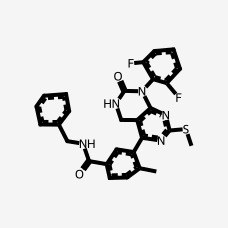 CSc1nc(-c2cc(C(=O)NCc3ccccc3)ccc2C)c2c(n1)N(c1c(F)cccc1F)C(=O)NC2